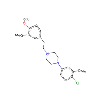 CCCCOc1ccc(CCN2CCN(c3ccc(Cl)c(OC)c3)CC2)cc1OC